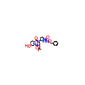 CC(C)(C)OC(=O)N1C[C@@H](O)CC[C@H]1C(=O)NC1CCN(C(=O)NOCc2ccccc2)C1